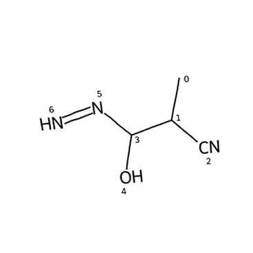 CC(C#N)C(O)N=N